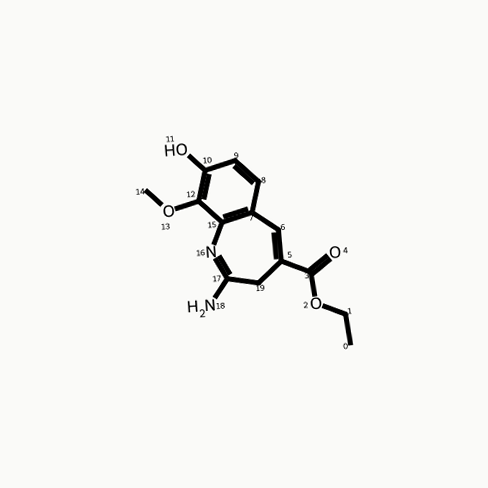 CCOC(=O)C1=Cc2ccc(O)c(OC)c2N=C(N)C1